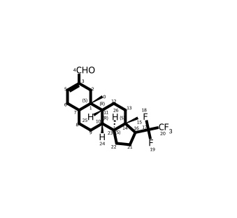 C[C@]12CC(C=O)=CCC1CC[C@@H]1[C@H]2CC[C@]2(C)C(C(F)(F)C(F)(F)F)CC[C@@H]12